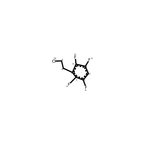 Fc1cc(F)c(F)c([CH]CCl)c1F